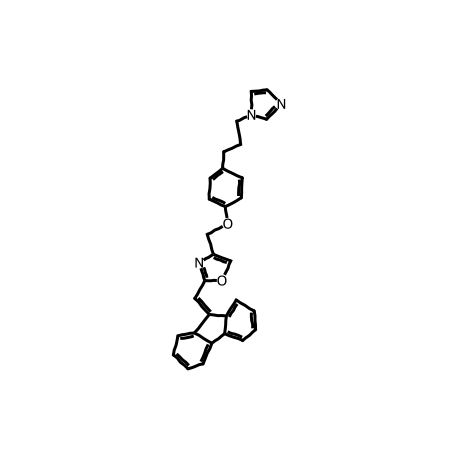 C(=C1c2ccccc2-c2ccccc21)c1nc(COc2ccc(CCCn3ccnc3)cc2)co1